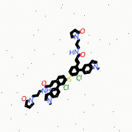 Cn1ccc2cc(-c3c(/C=C/C(=O)NCCCN4CCCC4=O)ccc(Sc4ccc(/C=C/C(=O)NCCCN5CCCC5=O)c(-c5ccc6c(ccn6C)c5)c4Cl)c3Cl)ccc21